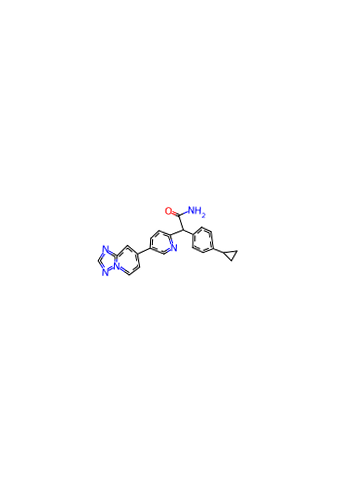 NC(=O)C(c1ccc(C2CC2)cc1)c1ccc(-c2ccn3ncnc3c2)cn1